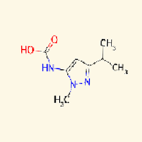 CC(C)c1cc(NC(=O)O)n(C)n1